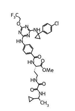 COC(=O)[C@H](CCNC(=O)C(=O)NC(C)C1CC1)NC(=O)c1ccc(Nc2nc(NC3(c4ccc(Cl)cc4)CC3)nc(OCC(F)(F)F)n2)cc1